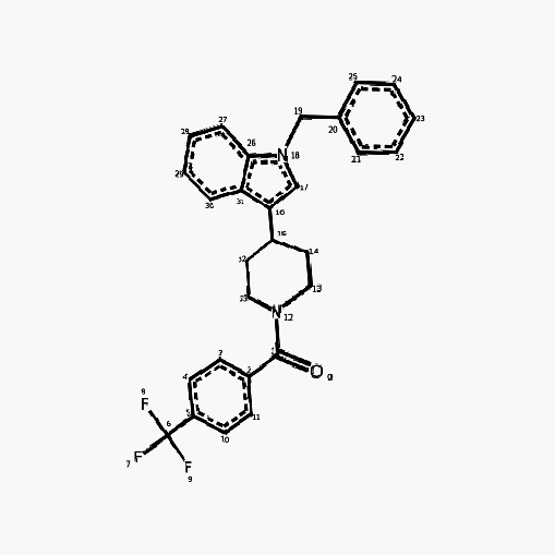 O=C(c1ccc(C(F)(F)F)cc1)N1CCC(c2cn(Cc3ccccc3)c3ccccc23)CC1